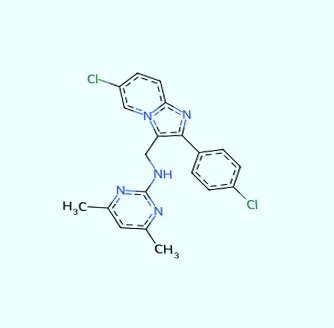 Cc1cc(C)nc(NCc2c(-c3ccc(Cl)cc3)nc3ccc(Cl)cn23)n1